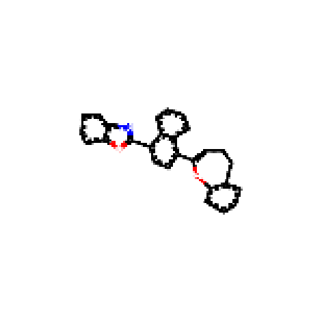 C1=C(c2ccc(-c3nc4ccccc4o3)c3ccccc23)Oc2ccccc2CC1